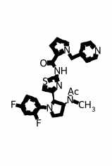 CC(=O)N(C)[C@@H]1CCN(c2ccc(F)cc2F)[C@H]1c1csc(NC(=O)c2cccn2Cc2ccncc2)n1